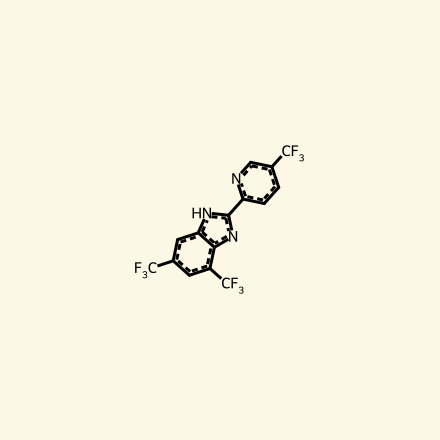 FC(F)(F)c1ccc(-c2nc3c(C(F)(F)F)cc(C(F)(F)F)cc3[nH]2)nc1